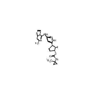 CC1(NC(=O)O[C@H]2CC[C@@H](c3cc(Nc4nc(C(F)(F)F)cc5nccn45)n[nH]3)[C@H]2F)CC1